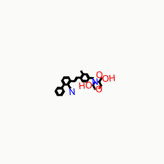 Cc1cc(CN2CCOCC2C(=O)O)c(O)cc1C=Cc1cccc(-c2ccccc2)c1C#N